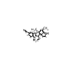 COc1cc(C)c2[nH]ccc2c1C(OC)c1nc2cc(C#N)ccc2[nH]1